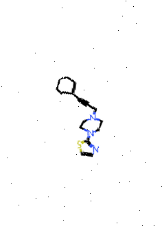 C(#CC1CCCCC1)CN1CCN(c2nccs2)CC1